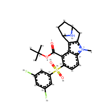 Cn1c2c(c3c(C(=O)OC(C)(C)C)c(S(=O)(=O)c4cc(F)cc(F)c4)ccc31)C1CCC(C2)N1